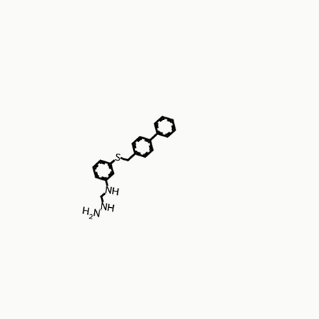 NNCNc1cccc(SCc2ccc(-c3ccccc3)cc2)c1